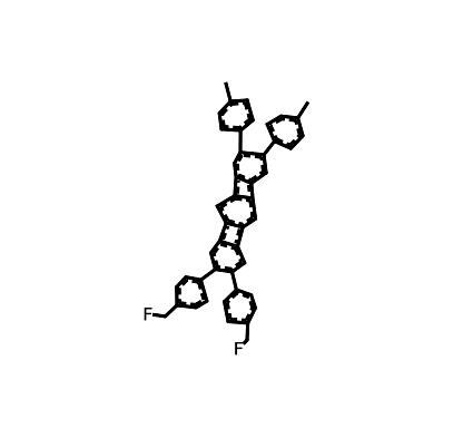 Cc1ccc(-c2cc3c(cc2-c2ccc(C)cc2)c2cc4c5cc(-c6ccc(CF)cc6)c(-c6ccc(CF)cc6)cc5c4cc32)cc1